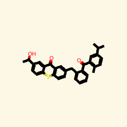 Cc1ccc(C(C)C)cc1C(=O)c1ccccc1Cc1ccc2sc3ccc(C(C)O)cc3c(=O)c2c1